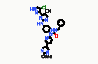 COc1ncc(-c2ccc(N(C(=O)NCc3ccccc3)C3CCC(Nc4ncc(C#N)c(-c5n[nH]cc5Cl)n4)CC3)nc2)cn1